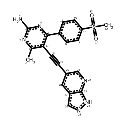 Cc1nc(N)nc(-c2ccc(S(C)(=O)=O)cc2)c1C#Cc1cnc2[nH]ncc2c1